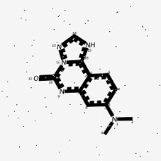 CN(C)c1ccc2c(c1)nc(=O)n1nc[nH]c21